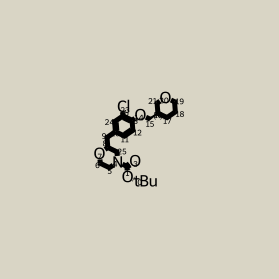 CC(C)(C)OC(=O)N1CCOC(Cc2ccc(OC[C@@H]3CCCOC3)c(Cl)c2)C1